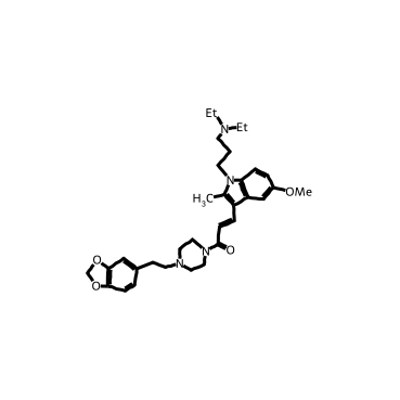 CCN(CC)CCCn1c(C)c(/C=C/C(=O)N2CCN(CCc3ccc4c(c3)OCO4)CC2)c2cc(OC)ccc21